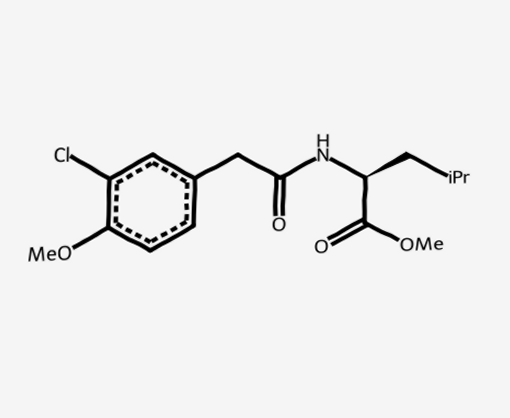 COC(=O)[C@H](CC(C)C)NC(=O)Cc1ccc(OC)c(Cl)c1